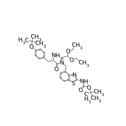 CCOC(CN(Cc1cccc2sc(NC(=O)OC(C)(C)C)nc12)C(=O)C(N)Cc1ccc(OC(C)(C)C)cc1)OCC